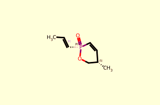 C/C=C/[P@]1(=O)C=C[C@H](C)CO1